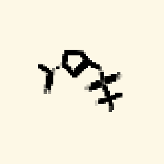 CC(=O)[C@H]1C=C(OS(=O)(=O)C(F)(F)F)CC1